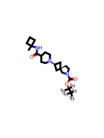 [2H]C([2H])([2H])C([2H])([2H])OC(=O)N1CC[C@]2(C1)C[C@H](N1CCC(C(=O)NC3(C)CCC3)CC1)C2